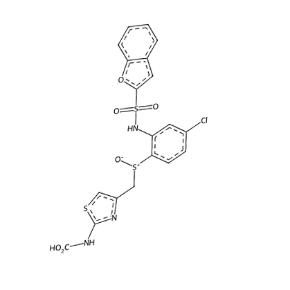 O=C(O)Nc1nc(C[S+]([O-])c2ccc(Cl)cc2NS(=O)(=O)c2cc3ccccc3o2)cs1